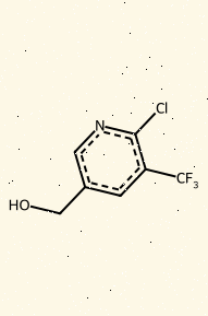 OCc1cnc(Cl)c(C(F)(F)F)c1